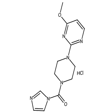 COc1ccnc(N2CCN(C(=O)n3ccnc3)CC2)n1.Cl